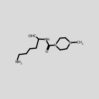 CN1CCN(C(=O)NC([C]=O)CCCCN)CC1